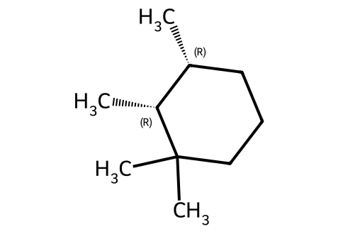 C[C@@H]1CCCC(C)(C)[C@@H]1C